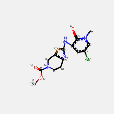 Cn1cc(Br)cc(Nc2nc3c(s2)CN(C(=O)OC(C)(C)C)CC3)c1=O